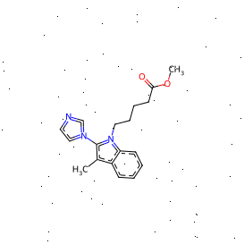 COC(=O)CCCCn1c(-n2ccnc2)c(C)c2ccccc21